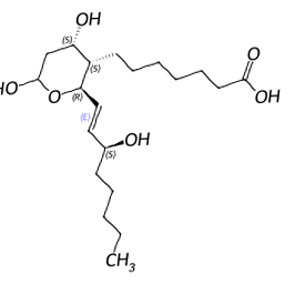 CCCCC[C@H](O)/C=C/[C@H]1OC(O)C[C@H](O)[C@@H]1CCCCCCC(=O)O